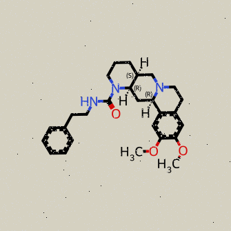 COc1cc2c(cc1OC)[C@H]1C[C@@H]3[C@@H](CCCN3C(=O)NCCc3ccccc3)CN1CC2